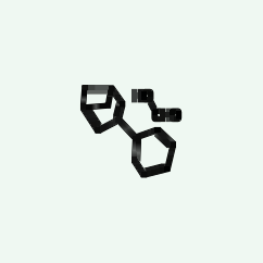 O=CO.c1ccc(-c2cc3cc(c2)C3)cc1